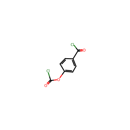 O=C(Cl)Oc1ccc(C(=O)Cl)cc1